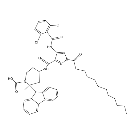 CCCCCCCCCCCC(=O)n1cc(NC(=O)c2c(Cl)cccc2Cl)c(C(=O)NC2CCN(C(=O)O)C(C)(C3c4ccccc4-c4ccccc43)C2)n1